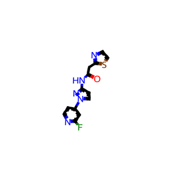 O=C(Cc1nccs1)Nc1ccn(-c2ccnc(F)c2)n1